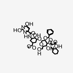 COC(=O)C1CC(NC(=O)c2cc(O)nc(O)n2)C(O)C(OC2OC(CO)C(O)C(O[C@@H](CC3CCCCC3)C(=O)O)C2OC(=O)c2ccccc2)C1